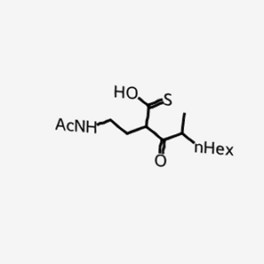 CCCCCCC(C)C(=O)C(CCNC(C)=O)C(O)=S